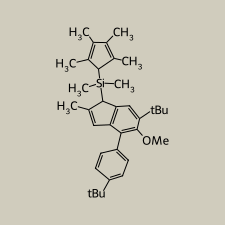 COc1c(C(C)(C)C)cc2c(c1-c1ccc(C(C)(C)C)cc1)C=C(C)C2[Si](C)(C)C1C(C)=C(C)C(C)=C1C